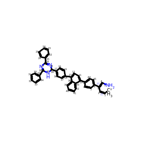 C/C=C\C(=C/N)c1ccc(-c2ccc(-c3ccc(C4N=C(c5ccccc5)N=C(c5ccccc5)N4)cc3)c3ccccc23)cc1